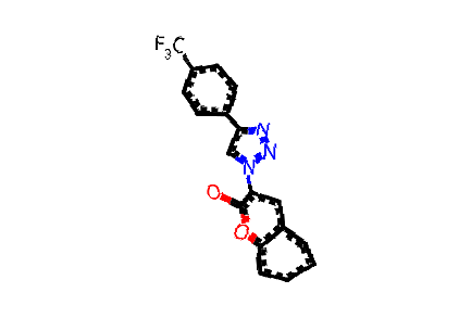 O=c1oc2ccccc2cc1-n1cc(-c2ccc(C(F)(F)F)cc2)nn1